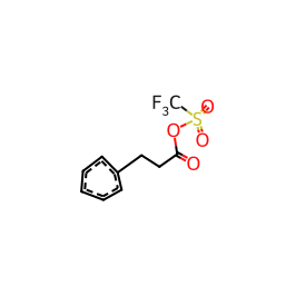 O=C(CCc1ccccc1)OS(=O)(=O)C(F)(F)F